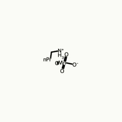 CCCC[NH3+].[O]=[Mn](=[O])(=[O])[O-]